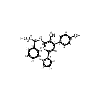 N#Cc1c(-c2ccc(O)cc2)cc(-c2cccs2)nc1OC(C(=O)O)c1ccccc1